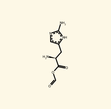 Nc1ncc(C[C@H](N)C(=O)OC=O)[nH]1